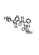 CC(C)(C)OC(=O)NC[C@@H](NC(=O)c1cncc2c(-c3cn[nH]c3)c[nH]c12)c1ccccc1